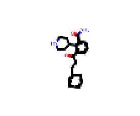 NC(=O)c1cccc(C(=O)CCc2ccccc2)c1C1CCNCC1